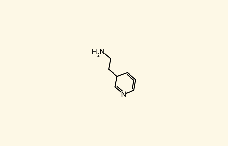 NCCC1C=C=CN=C1